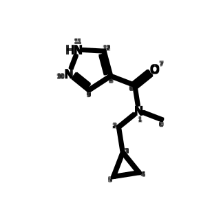 CN(CC1CC1)C(=O)c1cn[nH]c1